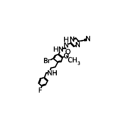 COc1cc(CCNCc2ccc(F)cc2)c(Br)cc1NC(=O)Nc1cnc(C#N)cn1